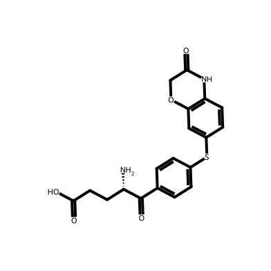 N[C@@H](CCC(=O)O)C(=O)c1ccc(Sc2ccc3c(c2)OCC(=O)N3)cc1